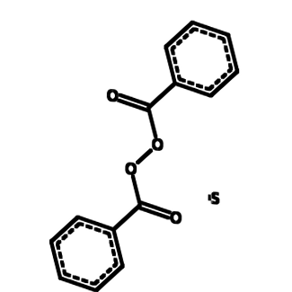 O=C(OOC(=O)c1ccccc1)c1ccccc1.[S]